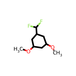 COC1CC(OC)CC(C(F)F)C1